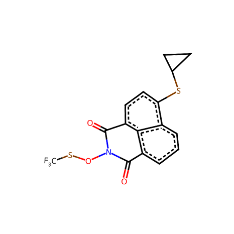 O=C1c2cccc3c(SC4CC4)ccc(c23)C(=O)N1OSC(F)(F)F